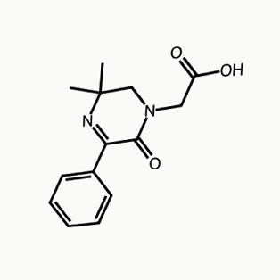 CC1(C)CN(CC(=O)O)C(=O)C(c2ccccc2)=N1